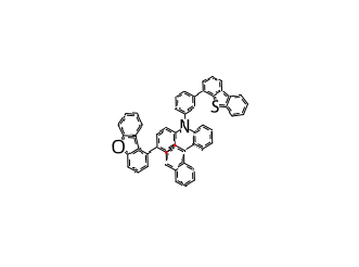 c1cc(-c2cccc3c2sc2ccccc23)cc(N(c2ccc(-c3cccc4oc5ccccc5c34)cc2)c2ccccc2-c2cccc3ccccc23)c1